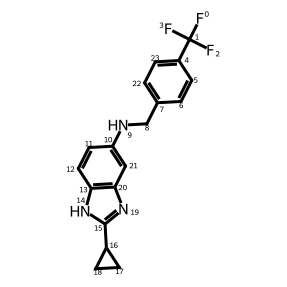 FC(F)(F)c1ccc(CNc2ccc3[nH]c(C4CC4)nc3c2)cc1